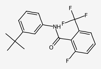 CC(C)(C)c1cccc(NC(=O)c2c(F)cccc2C(F)(F)F)c1